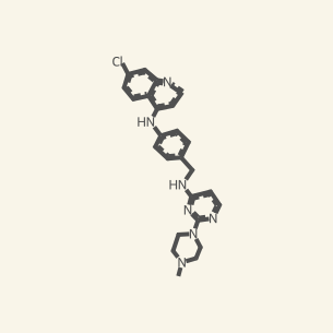 CN1CCN(c2nccc(NCc3ccc(Nc4ccnc5cc(Cl)ccc45)cc3)n2)CC1